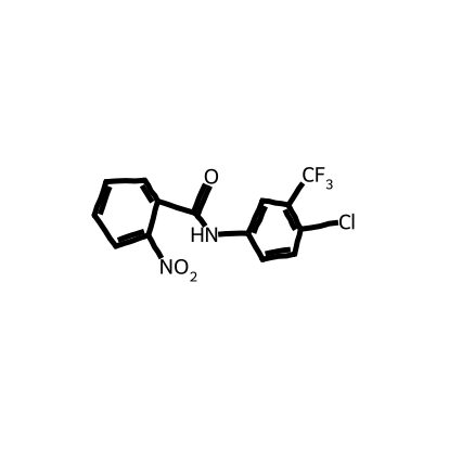 O=C(Nc1ccc(Cl)c(C(F)(F)F)c1)c1ccccc1[N+](=O)[O-]